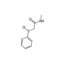 CNC(=O)C[S+]([O-])c1ccccc1